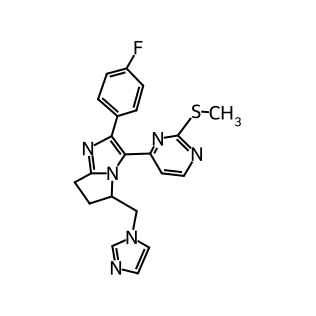 CSc1nccc(-c2c(-c3ccc(F)cc3)nc3n2C(Cn2ccnc2)CC3)n1